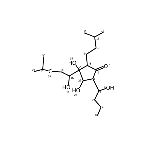 CCCC(O)C1C(=O)C(CCC(C)C)C(O)(C(O)CCC(C)C)C1O